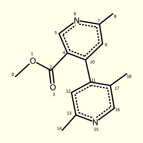 COC(=O)c1cnc(C)cc1-c1cc(C)ncc1C